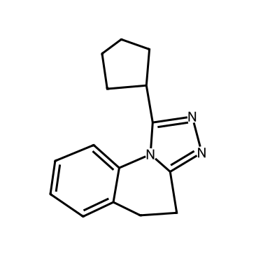 c1ccc2c(c1)CCc1nnc(C3CCCC3)n1-2